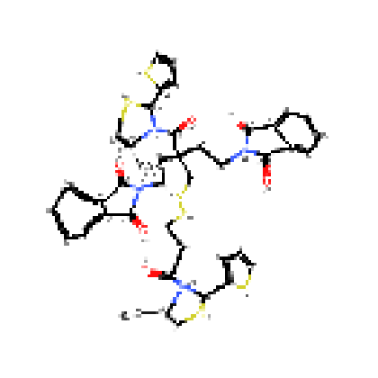 O=C(O)[C@@H]1CSC(c2cccs2)N1C(=O)CCSSCC(CCN1C(=O)c2ccccc2C1=O)(CCN1C(=O)c2ccccc2C1=O)C(=O)N1C(c2cccs2)SC[C@H]1C(=O)O